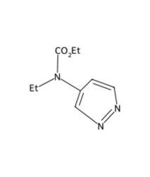 CCOC(=O)N(CC)c1ccnnc1